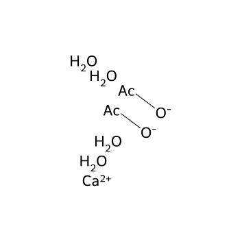 CC(=O)[O-].CC(=O)[O-].O.O.O.O.[Ca+2]